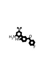 CN(C)C1Cc2c([nH]c3ccc(C(=O)c4ccc(F)cc4)cc23)C(N)C1